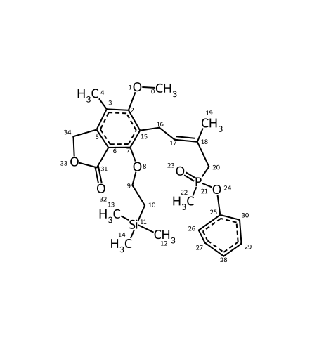 COc1c(C)c2c(c(OCC[Si](C)(C)C)c1C/C=C(\C)CP(C)(=O)Oc1ccccc1)C(=O)OC2